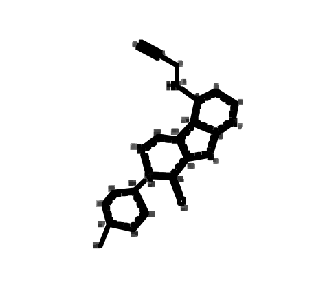 C#CCNc1ccnc2sc3c(=O)n(-c4ccc(C)cc4)ncc3c12